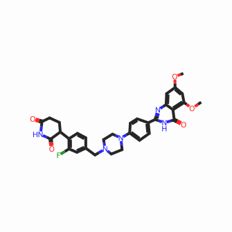 COc1cc(OC)c2c(=O)[nH]c(-c3ccc(N4CCN(Cc5ccc(C6CCC(=O)NC6=O)c(F)c5)CC4)cc3)nc2c1